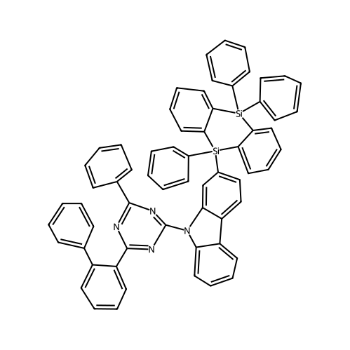 c1ccc(-c2nc(-c3ccccc3-c3ccccc3)nc(-n3c4ccccc4c4ccc([Si]5(c6ccccc6)c6ccccc6[Si](c6ccccc6)(c6ccccc6)c6ccccc65)cc43)n2)cc1